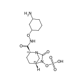 NC1CCCC(ONC(=O)[C@@H]2CC[C@@H]3CN2C(=O)N3OS(=O)(=O)O)C1